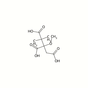 COC(CC(=O)O)(C(=O)O)C(C)(C)C(=O)O